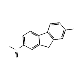 O=[N+]([O-])c1ccc2c(c1)Cc1cc(F)ccc1-2